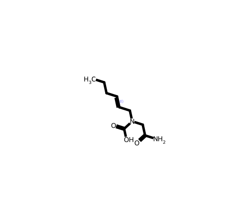 CCC/C=C/CN(CC(N)=O)C(=O)O